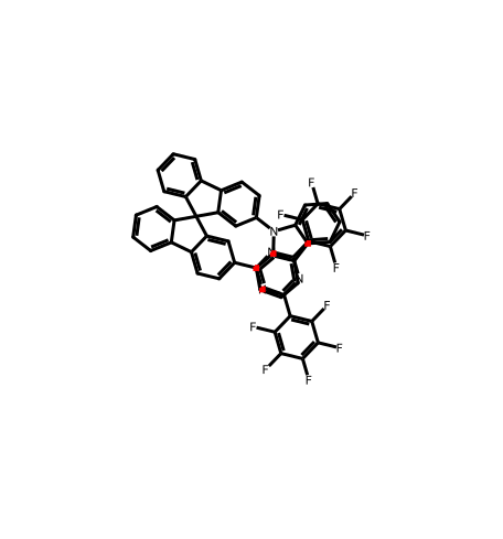 Fc1c(F)c(F)c(-c2nc(-c3ccc4c(c3)C3(c5ccccc5-4)c4ccccc4-c4ccc(-n5c6ccccc6c6ccccc65)cc43)nc(-c3c(F)c(F)c(F)c(F)c3F)n2)c(F)c1F